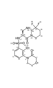 CCc1c(N2CCOCC2=O)cccc1S(=O)(=O)N[C@@H](CN)C(=O)N1CCCC(F)(F)C1